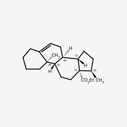 CCOC(=O)[C@]12CC[C@H]3[C@@H](CC=C4CCCC[C@@]43C)[C@@H]1CC[C@H]2C